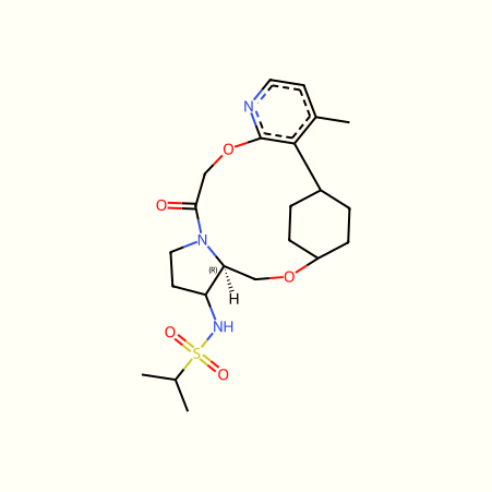 Cc1ccnc2c1C1CCC(CC1)OC[C@H]1C(NS(=O)(=O)C(C)C)CCN1C(=O)CO2